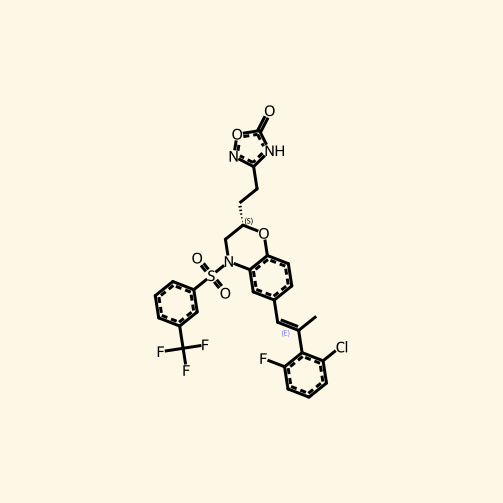 C/C(=C\c1ccc2c(c1)N(S(=O)(=O)c1cccc(C(F)(F)F)c1)C[C@H](CCc1noc(=O)[nH]1)O2)c1c(F)cccc1Cl